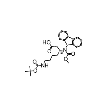 COC(=O)N(C1c2ccccc2-c2ccccc21)[C@@H](CCCCNC(=O)OC(C)(C)C)CC(=O)O